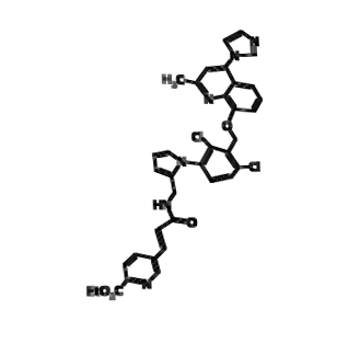 CCOC(=O)c1ccc(C=CC(=O)NCc2cccn2-c2ccc(Cl)c(COc3cccc4c(-n5ccnc5)cc(C)nc34)c2Cl)cn1